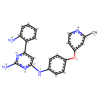 N#Cc1cc(Oc2ccc(Nc3cc(-c4ccccc4N)nc(N)n3)cc2)ccn1